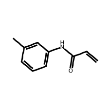 C=CC(=O)Nc1cccc(C)c1